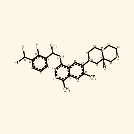 Cc1nnc(N[C@H](C)c2cccc(C(F)F)c2F)c2cc(N3CCN4CCOC[C@@H]4C3)c(C(F)(F)F)nc12